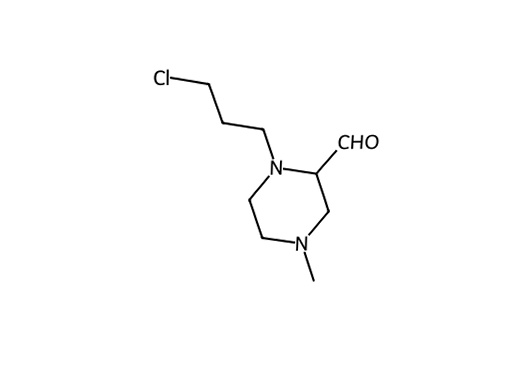 CN1CCN(CCCCl)C(C=O)C1